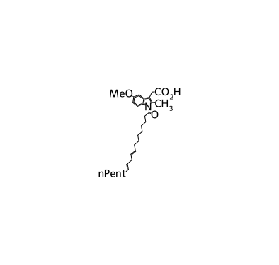 CCCCC/C=C/C/C=C/CCCCCCCC(=O)n1c(C)c(CC(=O)O)c2cc(OC)ccc21